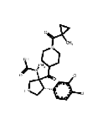 CN(C(=O)O)[C@]1(C(=O)C2CCN(C(=O)C3(C)CC3)CC2)CNC[C@H]1c1ccc(Cl)c(Cl)c1